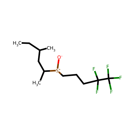 CCC(C)CC(C)[S+]([O-])CCCC(F)(F)C(F)(F)F